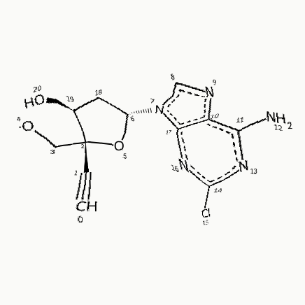 C#C[C@]1(C[O])O[C@@H](n2cnc3c(N)nc(Cl)nc32)C[C@@H]1O